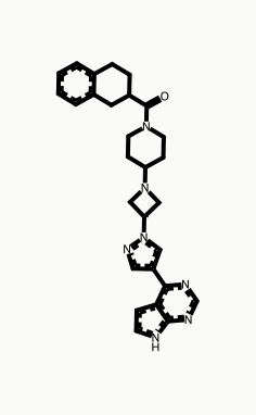 O=C(C1CCc2ccccc2C1)N1CCC(N2C[C](n3cc(-c4ncnc5[nH]ccc45)cn3)C2)CC1